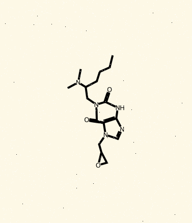 CCCCC(Cn1c(=O)[nH]c2ncn(CC3CO3)c2c1=O)N(C)C